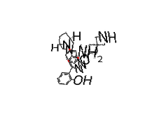 Nc1nnc(-c2ccccc2O)cc1N1C[C@H]2CC[C@@H](C1)N2c1cccc(OC2CC3(CNC3)C2)c1